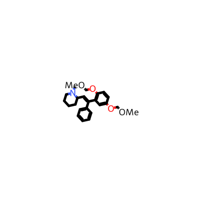 COCOc1ccc(OCOC)c(C(=CC2CCCCN2C)c2ccccc2)c1